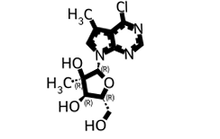 Cc1cn([C@@H]2O[C@H](CO)[C@@H](O)[C@@]2(C)O)c2ncnc(Cl)c12